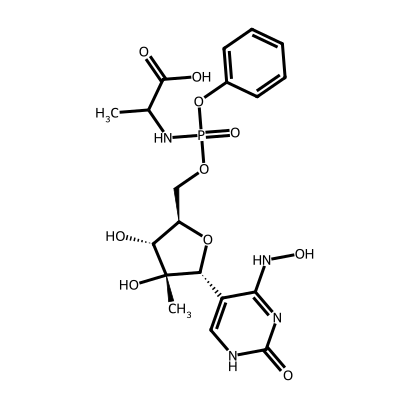 CC(NP(=O)(OC[C@H]1O[C@H](c2c[nH]c(=O)nc2NO)[C@](C)(O)[C@@H]1O)Oc1ccccc1)C(=O)O